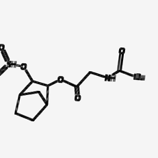 CC(C)(C)C(=O)NCC(=O)OC1C2CCC(C2)C1O[SH](=O)=O